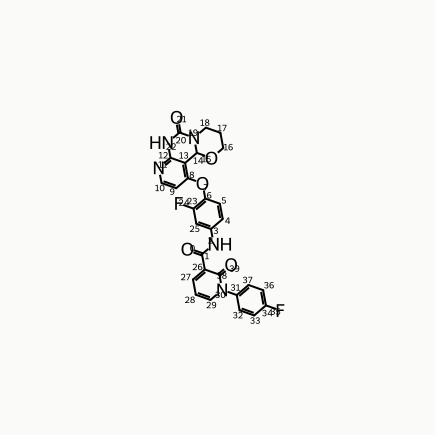 O=C(Nc1ccc(Oc2ccnc3c2C2OCCCN2C(=O)N3)c(F)c1)c1cccn(-c2ccc(F)cc2)c1=O